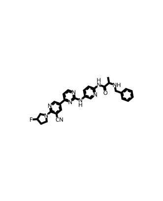 CC(NCc1ccccc1)C(=O)Nc1ccc(Nc2nccc(-c3cnc(N4CCC(F)C4)c(C#N)c3)n2)cn1